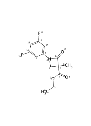 CCOC(=O)C1(C)CN(c2cc(F)cc(F)c2)C1=O